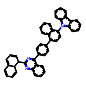 C1=CC2=CC=CC(c3nc(-c4ccc(-c5ccc(-n6c7ccccc7c7ccccc76)c6ccccc56)cc4)c4ccccc4n3)C2C=C1